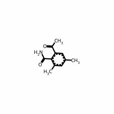 CC(=O)c1cc(C)cc(C)c1C(N)=O